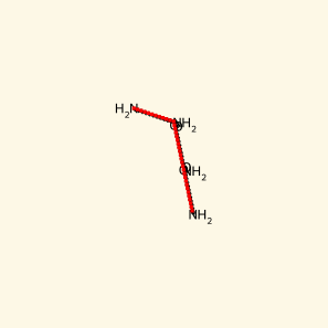 NCCCCCCCCCCCCCCCCCCCCCCC(N)OC(=O)CCCCCCCCCCCCCCCCCCCCCC(=O)OC(N)CCCCCCCCCCCCCCCCCCCCCCN